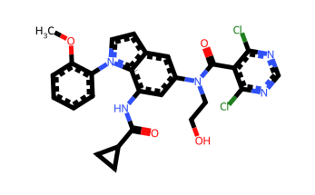 COc1ccccc1-n1ccc2cc(N(CCO)C(=O)c3c(Cl)ncnc3Cl)cc(NC(=O)C3CC3)c21